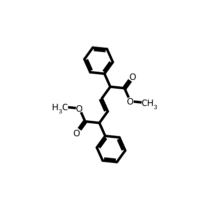 COC(=O)C(C=CC(C(=O)OC)c1ccccc1)c1ccccc1